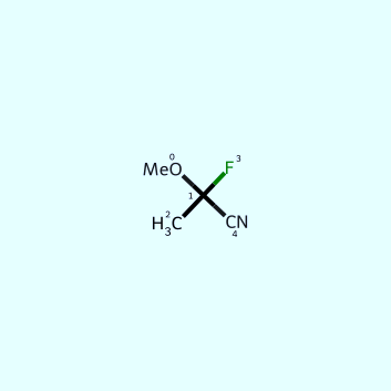 COC(C)(F)C#N